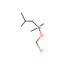 CC(C)C[Si](C)(C)OCCl